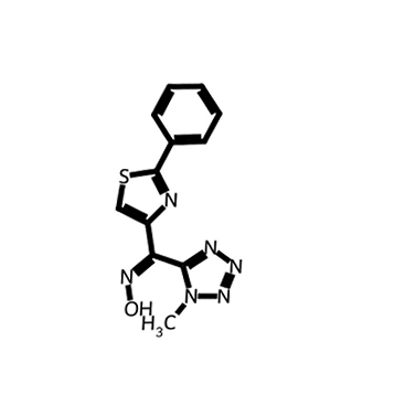 Cn1nnnc1/C(=N\O)c1csc(-c2ccccc2)n1